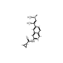 CN(N)/C=C(\N)c1ccc2cnc(NC(=O)C3CC3)cc2c1